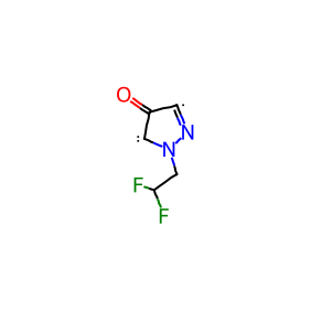 O=C1[C]N(CC(F)F)N=[C]1